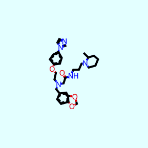 CC1CCCCN1CCCNC(=O)CN(CCOc1ccc(-n2ccnc2)cc1)Cc1ccc2c(c1)OCO2